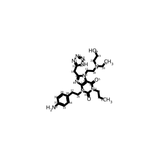 CCCn1c(=O)c2c(nc(Cc3nnn[nH]3)n2CCN(CC)CCO)n(CCc2ccc(N)cc2)c1=O